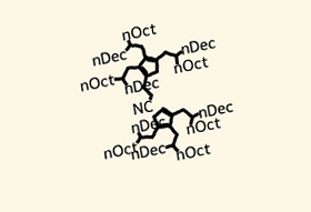 CCCCCCCCCCC(CCCCCCCC)CC1=C(CC(CCCCCCCC)CCCCCCCCCC)C(CC(CCCCCCCC)CCCCCCCCCC)=C(CCC#N)C1.CCCCCCCCCCC(CCCCCCCC)CC1=CCC(CC(CCCCCCCC)CCCCCCCCCC)=C1CC(CCCCCCCC)CCCCCCCCCC